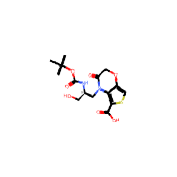 CC(C)(C)OC(=O)N[C@H](CO)CN1C(=O)COc2csc(C(=O)O)c21